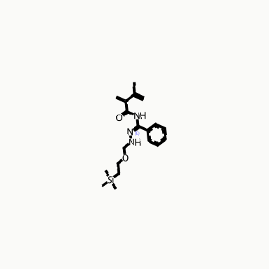 C=C(C)C(C)C(=O)N/C(=N/NCOCC[Si](C)(C)C)c1ccccc1